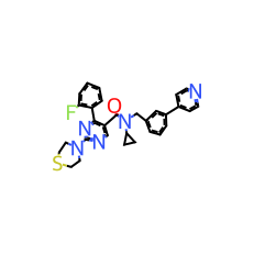 O=C(c1cnc(N2CCSCC2)nc1-c1ccccc1F)N(Cc1cccc(-c2ccncc2)c1)C1CC1